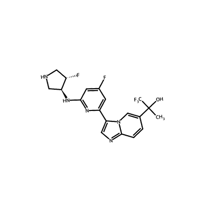 CC(O)(c1ccc2ncc(-c3cc(F)cc(N[C@H]4CNC[C@@H]4F)n3)n2c1)C(F)(F)F